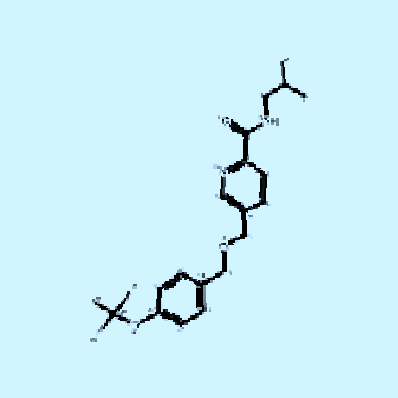 CC(C)CNC(=O)c1ccc(COCc2ccc(OC(C)(F)F)cc2)cn1